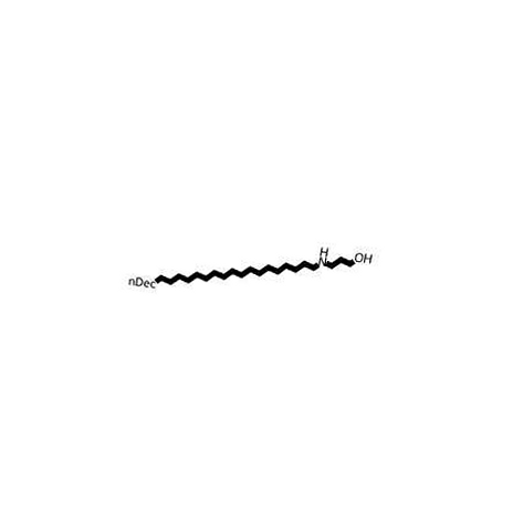 CCCCCCCCCCCCCCCCCCCCCCCCCCCCNCCCO